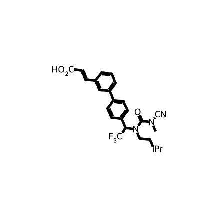 CC(C)CCN(C(=O)N(C)C#N)C(c1ccc(-c2cccc(/C=C/C(=O)O)c2)cc1)C(F)(F)F